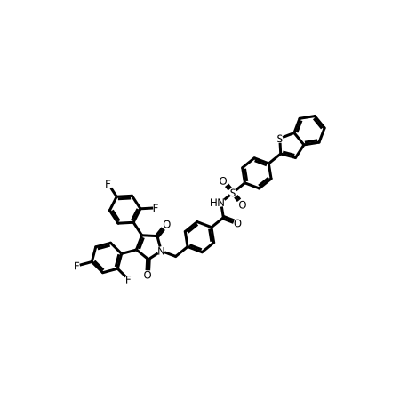 O=C(NS(=O)(=O)c1ccc(-c2cc3ccccc3s2)cc1)c1ccc(CN2C(=O)C(c3ccc(F)cc3F)=C(c3ccc(F)cc3F)C2=O)cc1